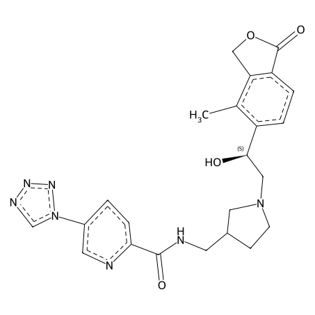 Cc1c([C@H](O)CN2CCC(CNC(=O)c3ccc(-n4cnnn4)cn3)C2)ccc2c1COC2=O